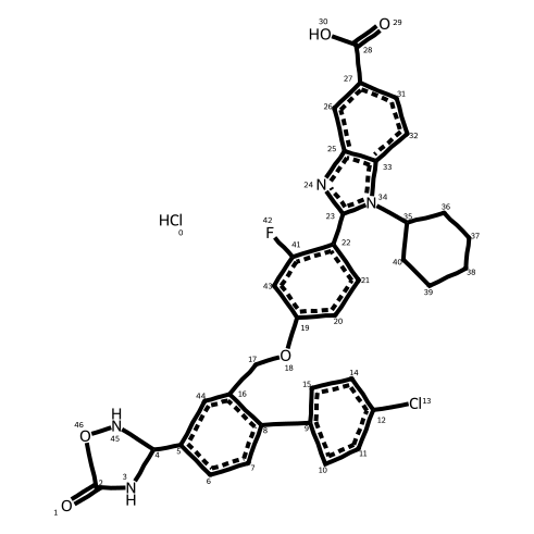 Cl.O=C1NC(c2ccc(-c3ccc(Cl)cc3)c(COc3ccc(-c4nc5cc(C(=O)O)ccc5n4C4CCCCC4)c(F)c3)c2)NO1